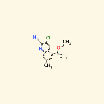 C=C(OCC)c1cc(C)cc2nc(C#N)c(Cl)cc12